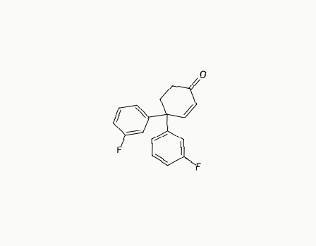 O=C1C=CC(c2cccc(F)c2)(c2cccc(F)c2)CC1